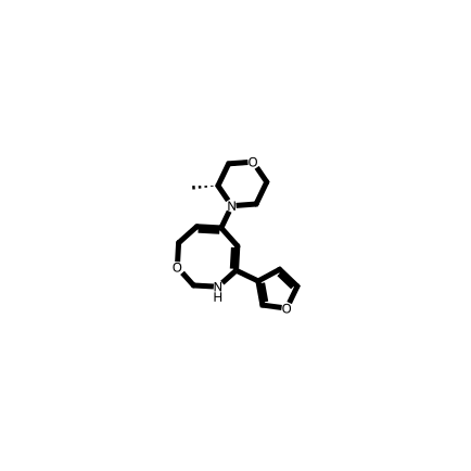 C[C@@H]1COCCN1C1=C/COCN/C(c2ccoc2)=C\1